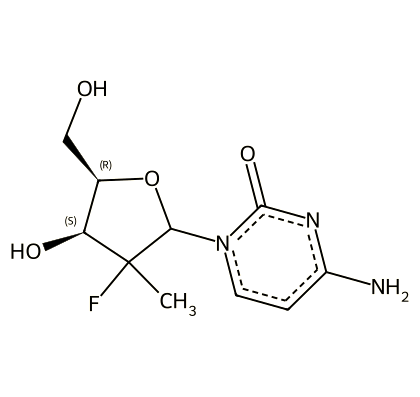 CC1(F)C(n2ccc(N)nc2=O)O[C@H](CO)[C@@H]1O